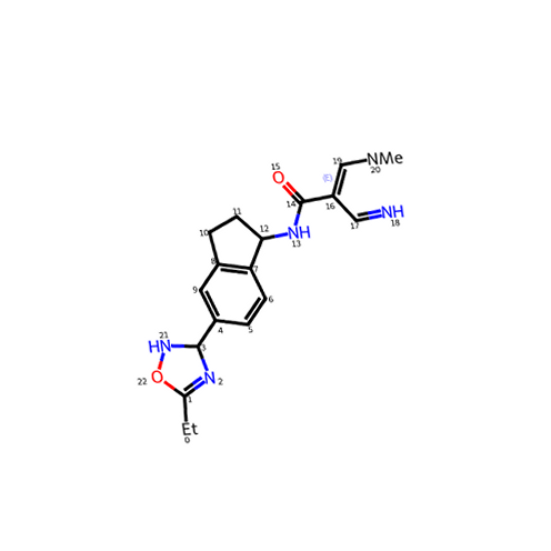 CCC1=NC(c2ccc3c(c2)CCC3NC(=O)/C(C=N)=C/NC)NO1